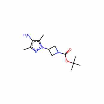 Cc1nn(C2CN(C(=O)OC(C)(C)C)C2)c(C)c1N